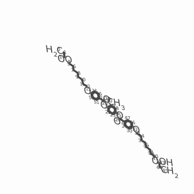 C=CC(=O)OCCCCCCCCOc1ccc(C(=O)Oc2ccc(OC(=O)c3ccc(OCCCCCCCCOC(O)C=C)cc3)cc2C)cc1